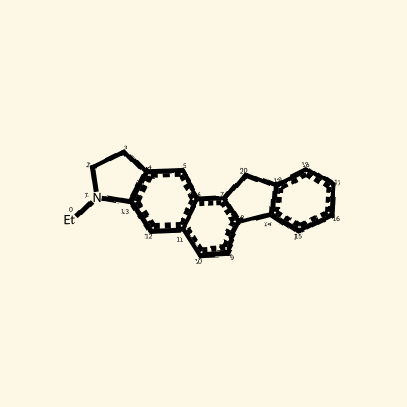 CCN1CCc2cc3c4c(ccc3cc21)-c1ccccc1C4